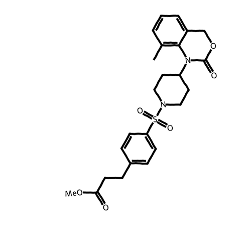 COC(=O)CCc1ccc(S(=O)(=O)N2CCC(N3C(=O)OCc4cccc(C)c43)CC2)cc1